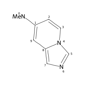 CNc1ccn2cncc2c1